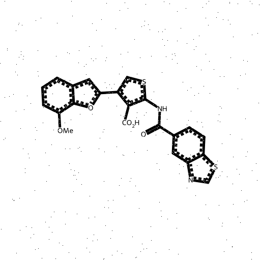 COc1cccc2cc(-c3csc(NC(=O)c4ccc5scnc5c4)c3C(=O)O)oc12